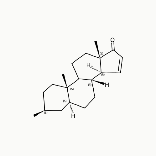 C[C@H]1CC[C@]2(C)C3CC[C@]4(C)C(=O)C=C[C@H]4[C@@H]3CC[C@H]2C1